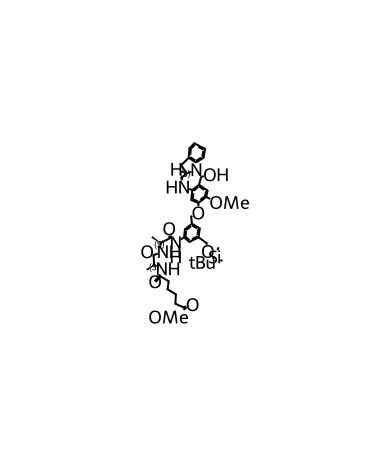 COC(=O)CCCCC(=O)N[C@@H](C)C(=O)N[C@@H](C)C(=O)Nc1cc(COc2cc3c(cc2OC)C(O)N2c4ccccc4C[C@H]2CN3)cc(CO[Si](C)(C)C(C)(C)C)c1